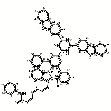 C=C(\C=C/C=C\C=C/c1c(CC)n(-c2c(-c3ccccc3)cc(-c3nc(-c4ccc5c(c4)sc4ccccc45)nc(-c4ccc5c(c4)sc4ccccc45)n3)cc2-c2ccccc2)c2ccccc12)Nc1ccccc1